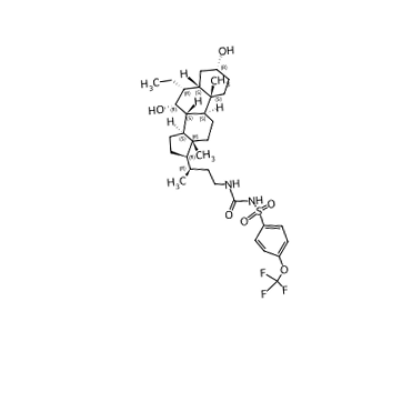 CC[C@H]1[C@@H](O)[C@@H]2[C@H](CC[C@]3(C)[C@@H]([C@H](C)CCNC(=O)NS(=O)(=O)c4ccc(OC(F)(F)F)cc4)CC[C@@H]23)[C@@]2(C)CC[C@@H](O)C[C@@H]12